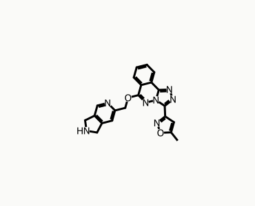 Cc1cc(-c2nnc3c4ccccc4c(OCc4cc5c(cn4)CNC5)nn23)no1